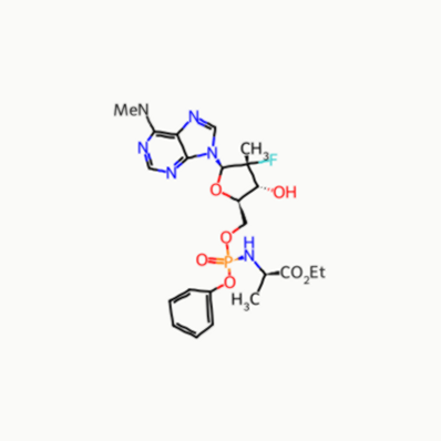 CCOC(=O)[C@@H](C)N[P@@](=O)(OC[C@H]1O[C@@H](n2cnc3c(NC)ncnc32)[C@](C)(F)[C@@H]1O)Oc1ccccc1